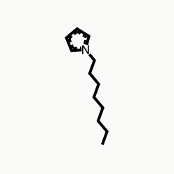 CCCCCCCCn1cccc1